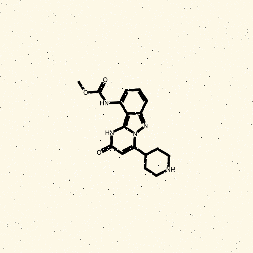 COC(=O)Nc1cccc2nn3c(C4CCNCC4)cc(=O)[nH]c3c12